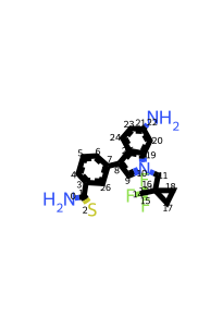 NC(=S)c1cccc(-c2cn(CC3(C(F)(F)F)CC3)c3cc(N)ccc23)c1